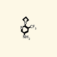 Nc1cnc(N2CCC2)c(C(F)(F)F)c1